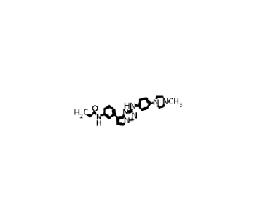 C=CC(=O)Nc1cccc(-c2ccn3cnc(Nc4ccc(N5CCN(C)CC5)cc4)nc23)c1